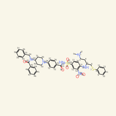 CN(C)CCC(CSc1ccccc1)Nc1ccc(S(=O)(=O)NC(=O)c2ccc(N3CCC(N(Cc4ccccc4)C(=O)c4ccccc4)CC3)cc2)cc1[N+](=O)[O-]